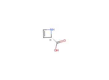 O=C(O)[C@@H]1C=CN1